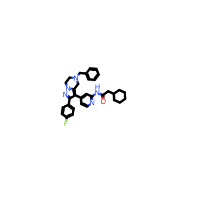 O=C(CC1CCCCC1)Nc1cc(-c2c(-c3ccc(F)cc3)nn3c2CN(Cc2ccccc2)CC3)ccn1